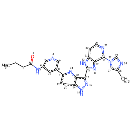 CCCC(=O)Nc1cncc(-c2ccc3[nH]nc(-c4nc5c(-n6cnc(C)c6)nccc5[nH]4)c3n2)c1